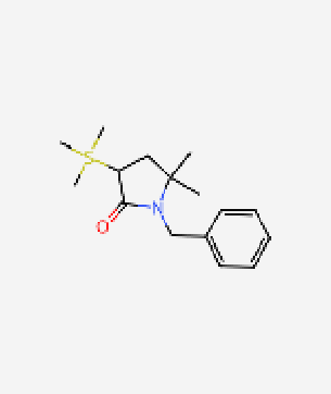 CC1(C)CC(S(C)(C)C)C(=O)N1Cc1ccccc1